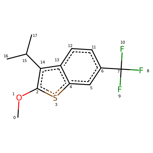 COc1sc2cc(C(F)(F)F)ccc2c1C(C)C